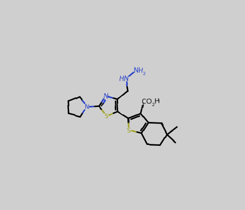 CC1(C)CCc2sc(-c3sc(N4CCCC4)nc3CNN)c(C(=O)O)c2C1